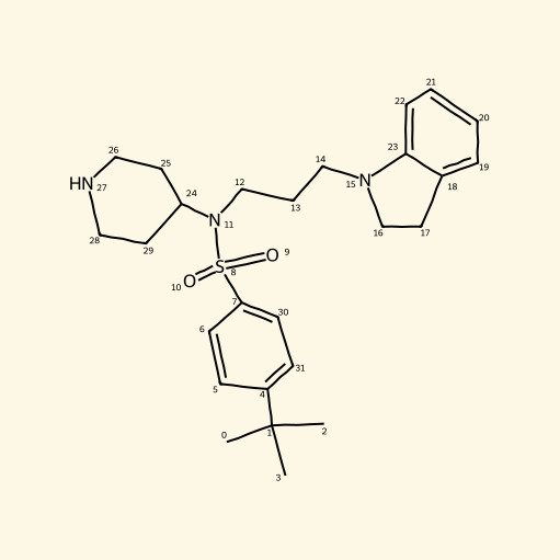 CC(C)(C)c1ccc(S(=O)(=O)N(CCCN2CCc3ccccc32)C2CCNCC2)cc1